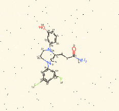 NC(=O)CCC1CN(c2cc(F)cc(F)c2)CCN1c1cccc(O)c1